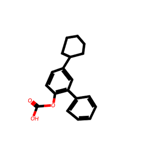 O=C(O)Oc1ccc(C2CCCCC2)cc1-c1ccccc1